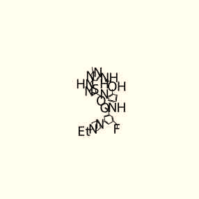 CCN1CCN(c2cc(CF)cc(C(=O)Nc3ccc(C)c(NC(=O)c4cnc(Nc5cc(NCCO)nc(C)n5)s4)c3)c2)CC1